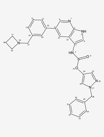 O=C(Nc1c[nH]c2ncc(-c3cccc(CN4CCC4)c3)cc12)Oc1cnn(Cc2ccccc2)c1